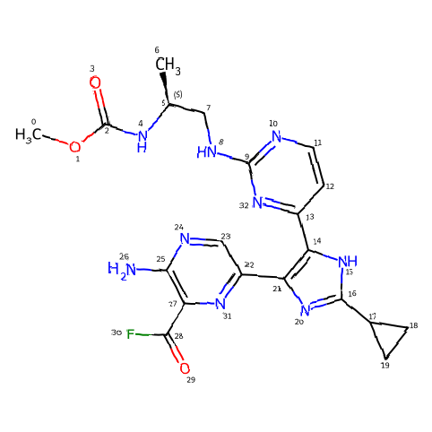 COC(=O)N[C@@H](C)CNc1nccc(-c2[nH]c(C3CC3)nc2-c2cnc(N)c(C(=O)F)n2)n1